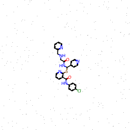 O=C(CNCc1ccccn1)NC(Sc1ncccc1C(=O)Nc1ccc(Cl)cc1)c1ccncc1